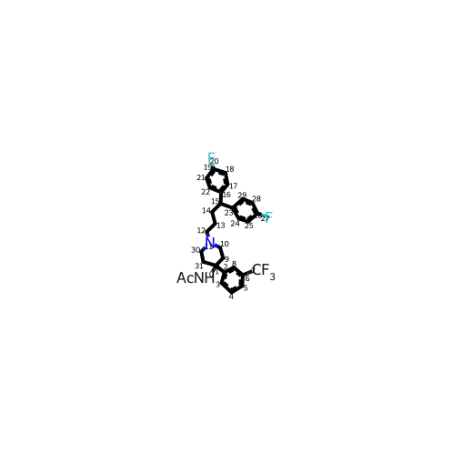 CC(=O)NC1(c2cccc(C(F)(F)F)c2)CCN(CCCC(c2ccc(F)cc2)c2ccc(F)cc2)CC1